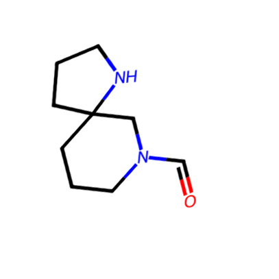 O=CN1CCCC2(CCCN2)C1